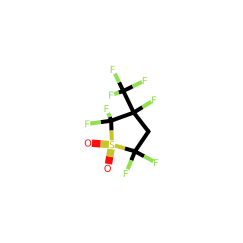 O=S1(=O)C(F)(F)CC(F)(C(F)(F)F)C1(F)F